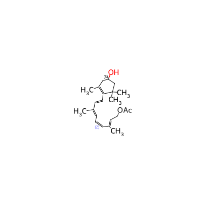 CC(=O)OCC=C(C)/C=C\C=C(C)C=CC1=C(C)C[C@@H](O)CC1(C)C